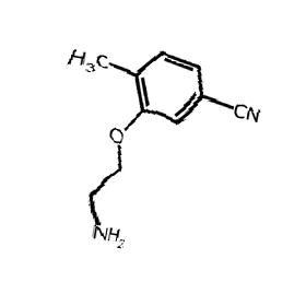 Cc1ccc(C#N)cc1OCCN